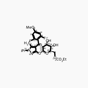 CCOC(=O)OC[C@H]1O[C@@H](Oc2nn(C(C)C)c(C)c2Cc2c(F)cc(OC)cc2F)[C@H](O)[C@@H](O)[C@@H]1O